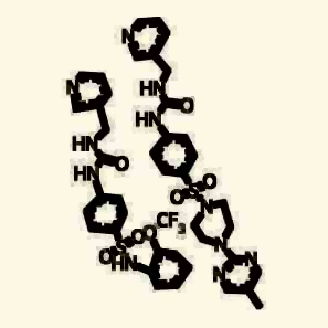 Cc1cnc(N2CCN(S(=O)(=O)c3ccc(NC(=O)NCc4cccnc4)cc3)CC2)nc1.O=C(NCc1cccnc1)Nc1ccc(S(=O)(=O)Nc2ccccc2OC(F)(F)F)cc1